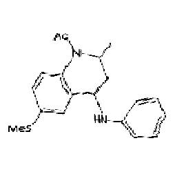 CSc1ccc2c(c1)C(Nc1ccccc1)CC(C)N2C(C)=O